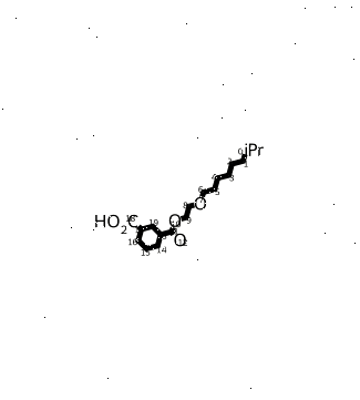 CC(C)CCCCCCOCCOC(=O)C1CCCC(C(=O)O)C1